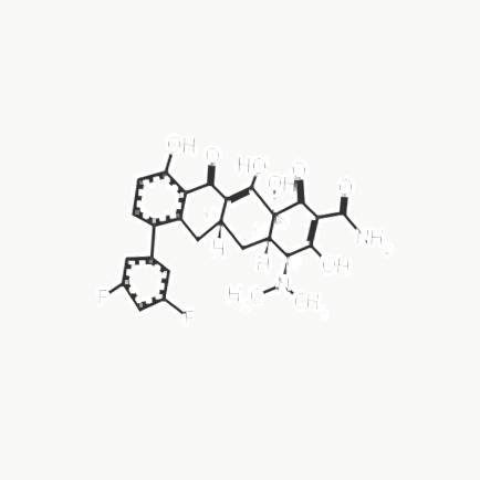 CN(C)[C@@H]1C(O)=C(C(N)=O)C(=O)[C@]2(O)C(O)=C3C(=O)c4c(O)ccc(-c5cc(F)cc(F)c5)c4C[C@H]3C[C@@H]12